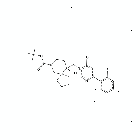 CC(C)(C)OC(=O)N1CCC(O)(Cn2cnc(-c3ccccc3F)cc2=O)C2(CCCC2)C1